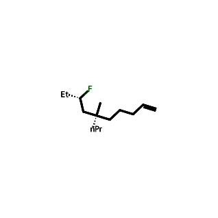 C=CCCC[C@@](C)(CCC)C[C@@H](F)CC